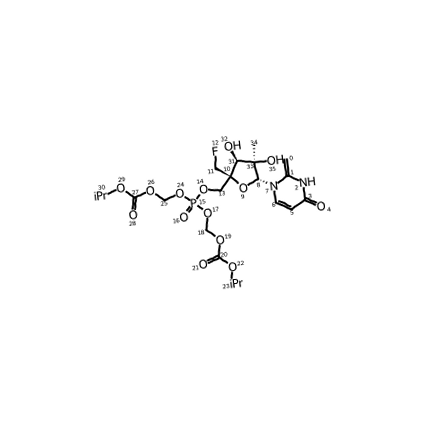 C=C1NC(=O)C=CN1[C@@H]1O[C@](CF)(COP(=O)(OCOC(=O)OC(C)C)OCOC(=O)OC(C)C)[C@@H](O)[C@@]1(C)O